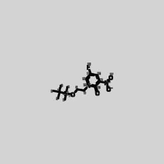 CC(C)(C)[Si](C)(C)OCCn1cc(F)cc([N+](=O)[O-])c1=O